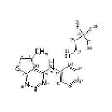 Cc1csc2ncnc(Nc3ccccc3OCCC(F)(F)F)c12